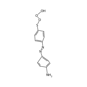 Nc1ccc(N=Nc2ccc(SOOO)cc2)cc1